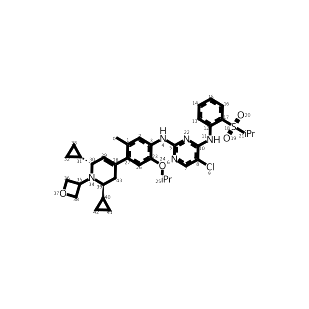 Cc1cc(Nc2ncc(Cl)c(Nc3ccccc3S(=O)(=O)C(C)C)n2)c(OC(C)C)cc1C1=C[C@@H](C2CC2)N(C2COC2)[C@H](C2CC2)C1